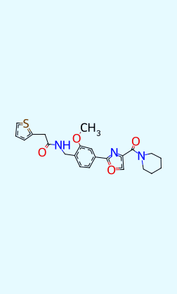 COc1cc(-c2nc(C(=O)N3CCCCC3)co2)ccc1CNC(=O)Cc1cccs1